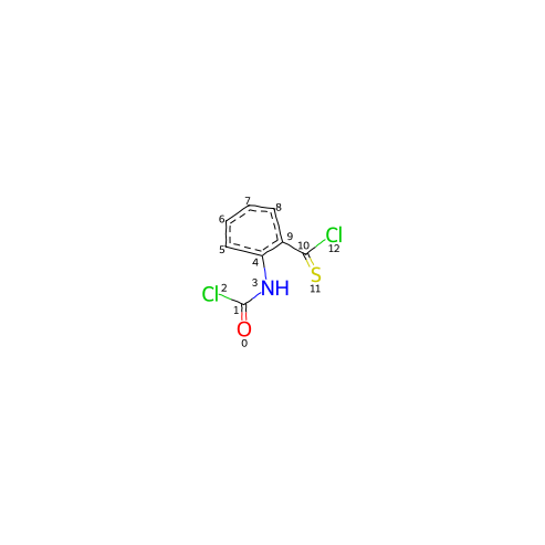 O=C(Cl)Nc1ccccc1C(=S)Cl